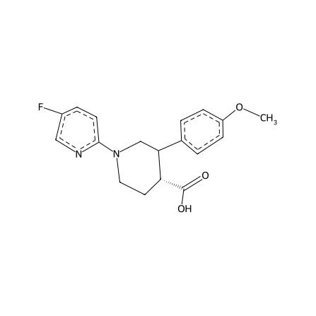 COc1ccc(C2CN(c3ccc(F)cn3)CC[C@H]2C(=O)O)cc1